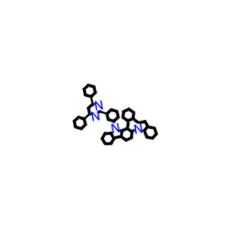 c1ccc(-c2cc(-c3ccccc3)nc(-c3cccc(-n4c5ccccc5c5ccc6c(c7ccccc7c7cc8ccccc8n76)c54)c3)n2)cc1